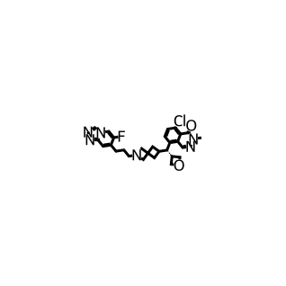 Cn1ncc2c([C@H](C3COC3)C3CC4(C3)CN(CCCc3cc5nncn5cc3F)C4)ccc(Cl)c2c1=O